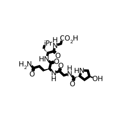 CC(C)C[C@@H](NC(=O)[C@H](CCC(N)=O)NC(=O)CNC(=O)[C@H]1C[C@H](O)CN1)C(=O)NCC(=O)O